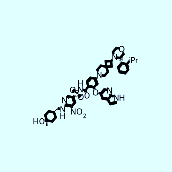 CC(C)c1ccccc1[C@H]1COCCN1C1CC2(CCN(c3ccc(C(=O)NS(=O)(=O)c4cnc(NC[C@H]5CC[C@@](C)(O)CC5)c([N+](=O)[O-])c4)c(Oc4cnc5[nH]ccc5c4)c3)CC2)C1